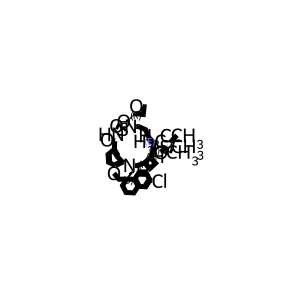 CC(C)(C)[Si](C)(C)O[C@H]1/C=C/CCN(C[C@H]2CCO2)S(=O)(=O)NC(=O)c2ccc3c(c2)N(C[C@@H]2CC[C@H]21)C[C@@]1(CCCc2cc(Cl)ccc21)CO3